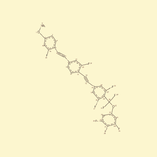 CCCCOc1ccc(C#Cc2ccc(C#Cc3cc(F)c(C(F)(F)Oc4cc(F)c(F)c(F)c4)c(F)c3)c(F)c2)c(F)c1